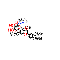 COc1ccc(-c2cc(=O)c3c(OC)c([C@@H]4O[C@H](C(=O)N[C@@H](C)C(F)(F)F)[C@@H](O)[C@H](O)[C@H]4O)c(OC)cc3o2)cc1OC